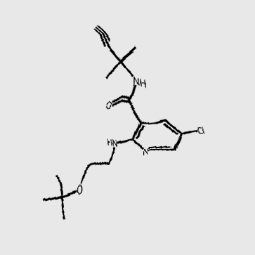 C#CC(C)(C)NC(=O)c1cc(Cl)cnc1NCCOC(C)(C)C